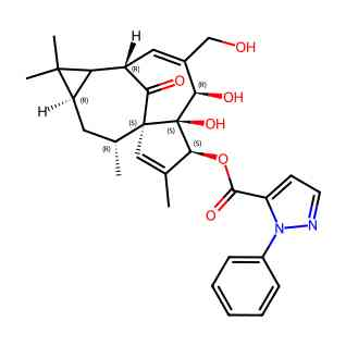 CC1=C[C@]23C(=O)[C@@H](C=C(CO)[C@@H](O)[C@]2(O)[C@H]1OC(=O)c1ccnn1-c1ccccc1)C1[C@@H](C[C@H]3C)C1(C)C